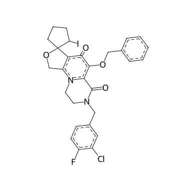 O=C1c2c(OCc3ccccc3)c(=O)c3c(n2CCN1Cc1ccc(F)c(Cl)c1)COC31CCCC1I